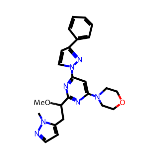 COC(Cc1ccnn1C)c1nc(N2CCOCC2)cc(-n2ccc(-c3ccccc3)n2)n1